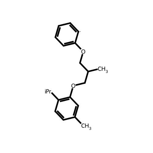 Cc1ccc(C(C)C)c(OCC(C)COc2[c]cccc2)c1